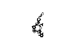 COCCCN1CCC2(CC1)CC(N1C(=O)c3cccc(c3)S(=O)(=O)Nc3nc(cc(-c4c(C)cccc4C)n3)OC[C@H]1CC(C)C)C2